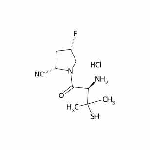 CC(C)(S)[C@H](N)C(=O)N1C[C@@H](F)C[C@H]1C#N.Cl